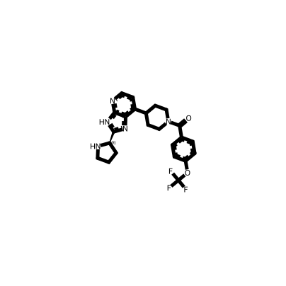 O=C(c1ccc(OC(F)(F)F)cc1)N1CCC(c2ccnc3[nH]c([C@H]4CCCN4)nc23)CC1